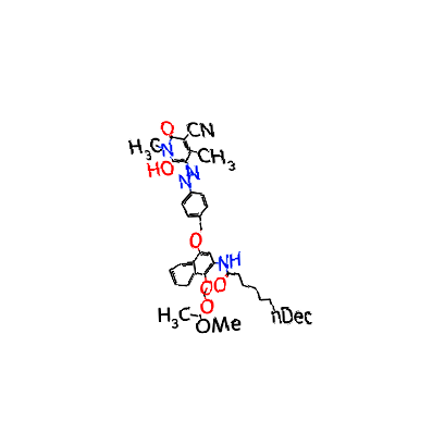 CCCCCCCCCCCCCCCC(=O)Nc1cc(OCc2ccc(N=Nc3c(C)c(C#N)c(=O)n(C)c3O)cc2)c2ccccc2c1OCOC(C)OC